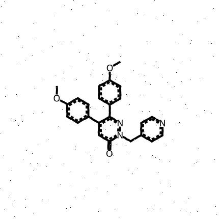 COc1ccc(-c2cc(=O)n(Cc3ccncc3)nc2-c2ccc(OC)cc2)cc1